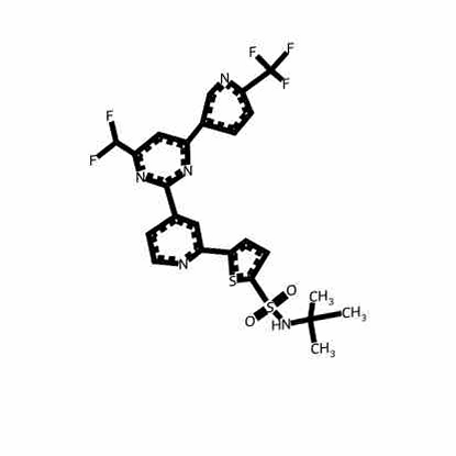 CC(C)(C)NS(=O)(=O)c1ccc(-c2cc(-c3nc(-c4ccc(C(F)(F)F)nc4)cc(C(F)F)n3)ccn2)s1